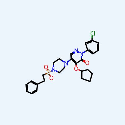 O=c1c(OC2CCCC2)c(N2CCN(S(=O)(=O)CCc3ccccc3)CC2)cnn1-c1cccc(Cl)c1